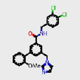 COc1ccccc1-c1cc(Cn2ccnc2)cc(C(=O)NCc2ccc(Cl)c(Cl)c2)c1